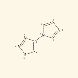 c1cn(-c2csnn2)cn1